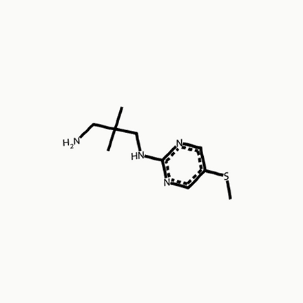 CSc1cnc(NCC(C)(C)CN)nc1